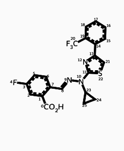 O=C(O)c1cc(F)ccc1C=NN(c1nc(-c2ccccc2C(F)(F)F)cs1)C1CC1